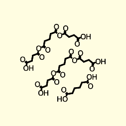 O=C(O)CCC(=O)OC(=O)CCCC(=O)OC(=O)CCC(=O)O.O=C(O)CCC(=O)OC(=O)CCCC(=O)OC(=O)CCC(=O)O.O=C(O)CCCCC(=O)O